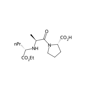 CCC[C@H](N[C@@H](C)C(=O)N1CCC[C@H]1C(=O)O)C(=O)OCC